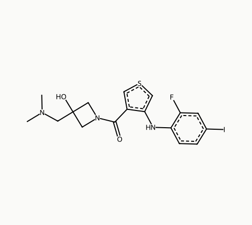 CN(C)CC1(O)CN(C(=O)c2cscc2Nc2ccc(I)cc2F)C1